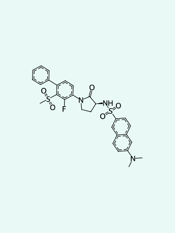 CN(C)c1ccc2cc(S(=O)(=O)N[C@H]3CCN(c4ccc(-c5ccccc5)c(S(C)(=O)=O)c4F)C3=O)ccc2c1